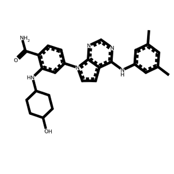 Cc1cc(C)cc(Nc2ncnc3c2ccn3-c2ccc(C(N)=O)c(NC3CCC(O)CC3)c2)c1